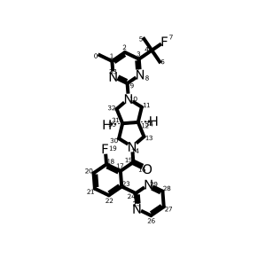 Cc1cc(C(C)(C)F)nc(N2C[C@H]3CN(C(=O)c4c(F)cccc4-c4ncccn4)C[C@H]3C2)n1